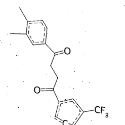 Cc1ccc(C(=O)CCC(=O)c2cccc(C(F)(F)F)c2)cc1C